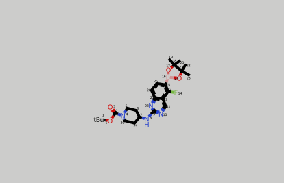 CC(C)(C)OC(=O)N1CCC(Nc2ncc3c(F)c(B4OC(C)(C)C(C)(C)O4)ccc3n2)CC1